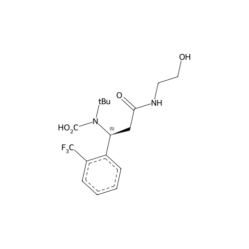 CC(C)(C)N(C(=O)O)[C@@H](CC(=O)NCCO)c1ccccc1C(F)(F)F